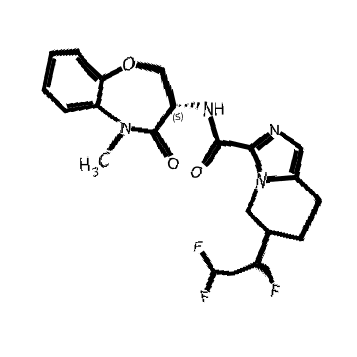 CN1C(=O)[C@@H](NC(=O)c2ncc3n2CC(C(F)C(F)F)CC3)COc2ccccc21